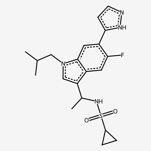 CC(C)Cn1cc(C(C)NS(=O)(=O)C2CC2)c2cc(F)c(-c3ccn[nH]3)cc21